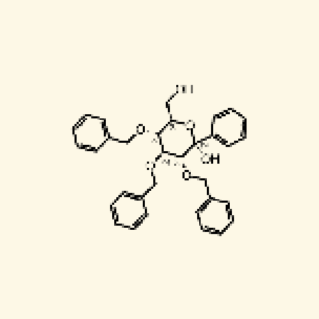 OC[C@H]1O[C@@](O)(c2ccccc2)[C@H](OCc2ccccc2)[C@@H](OCc2ccccc2)[C@@H]1OCc1ccccc1